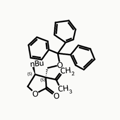 C=C(C)[C@@]1(COC(c2ccccc2)(c2ccccc2)c2ccccc2)C(=O)OC[C@H]1CCCC